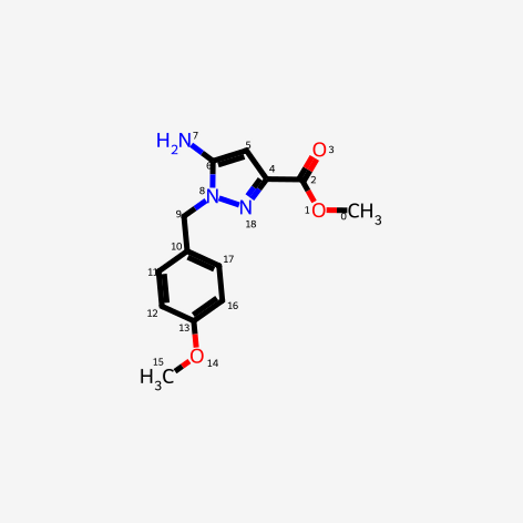 COC(=O)c1cc(N)n(Cc2ccc(OC)cc2)n1